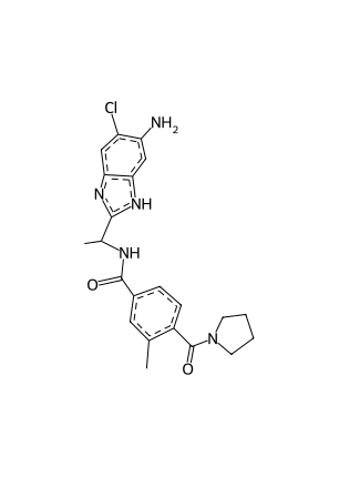 Cc1cc(C(=O)NC(C)c2nc3cc(Cl)c(N)cc3[nH]2)ccc1C(=O)N1CCCC1